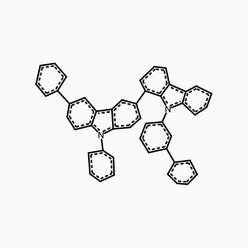 c1ccc(-c2cccc(-n3c4ccccc4c4cccc(-c5ccc6c(c5)c5cc(-c7ccccc7)ccc5n6-c5ccccc5)c43)c2)cc1